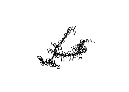 COCCOCCOCCOCCC(=O)NCCCCC(NC(=O)CCCCCN1C(=O)C(Sc2ccc(C=O)cc2)=C(Sc2ccc(C(=O)N3CCOCC3)cc2)C1=O)C(=O)NCCNC(=O)COCC(=O)NCC(=O)NCC(=O)NC(Cc1ccccc1)C(=O)NCC(=O)NCOCC(N)=O